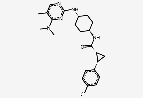 Cc1cnc(N[C@H]2CC[C@H](NC(=O)[C@@H]3C[C@@H]3c3ccc(Cl)cc3)CC2)nc1N(C)C